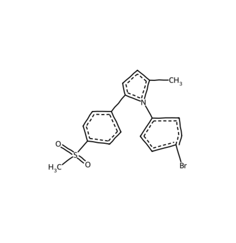 Cc1ccc(-c2ccc(S(C)(=O)=O)cc2)n1-c1ccc(Br)cc1